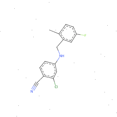 Cc1ccc(F)cc1CNc1ccc(C#N)c(Cl)c1